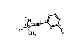 C[Si](C)(C)C#Cc1cccc(F)c1